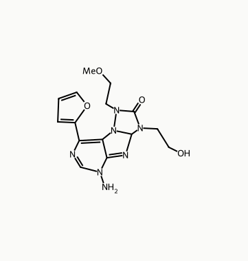 COCCN1C(=O)N(CCO)C2N=C3C(=C(c4ccco4)N=CN3N)N21